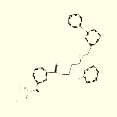 CCCN(CCC)C(=O)c1cccc(C(=O)N[C@@H](Cc2ccccc2)[C@H](O)CNCc2cccc(-c3ccccc3)c2)c1